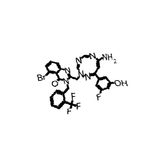 Nc1cc(-c2cc(O)cc(F)c2)nn(Cc2nc3cccc(Br)c3c(=O)n2Cc2ccccc2C(F)(F)F)cncn1